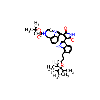 CC(C)[Si](OCCCc1cccc2c(C3=C(c4cn5c6c(cccc46)CN(C(=O)OC(C)(C)C)CC5)C(=O)NC3=O)c[nH]c12)(C(C)C)C(C)C